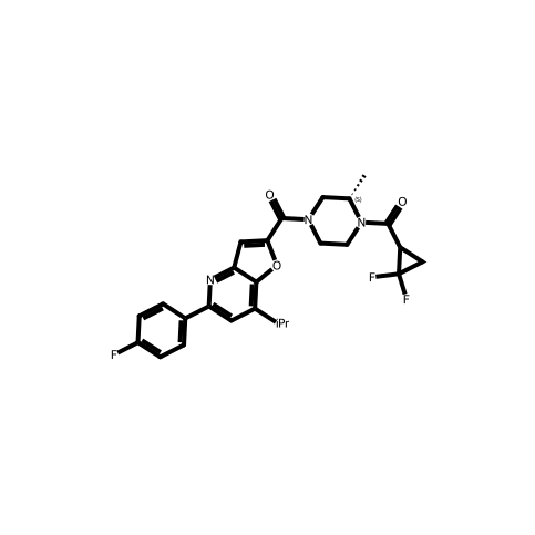 CC(C)c1cc(-c2ccc(F)cc2)nc2cc(C(=O)N3CCN(C(=O)C4CC4(F)F)[C@@H](C)C3)oc12